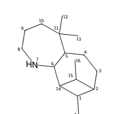 CC1C2CCC3C(NCCCC3(C)C)C1C2C